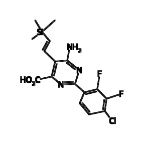 C[Si](C)(C)C=Cc1c(N)nc(-c2ccc(Cl)c(F)c2F)nc1C(=O)O